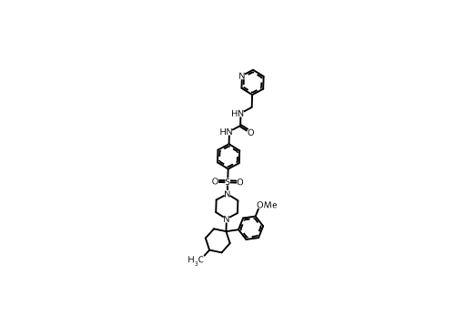 COc1cccc(C2(N3CCN(S(=O)(=O)c4ccc(NC(=O)NCc5cccnc5)cc4)CC3)CCC(C)CC2)c1